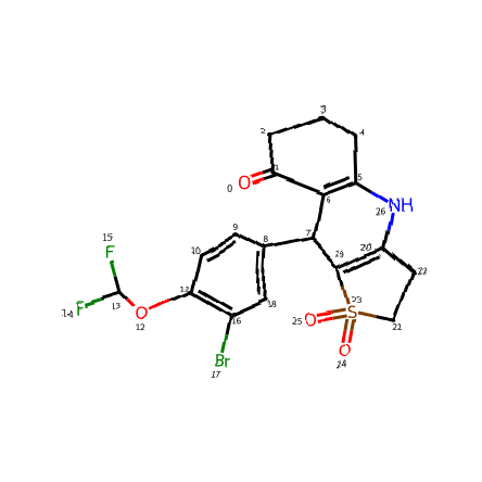 O=C1CCCC2=C1C(c1ccc(OC(F)F)c(Br)c1)C1=C(CCS1(=O)=O)N2